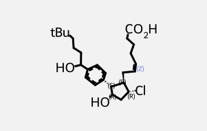 CC(C)(C)CCCC(O)c1ccc([C@@H]2[C@@H](C/C=C\CCCC(=O)O)[C@H](Cl)C[C@H]2O)cc1